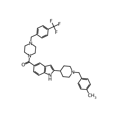 Cc1ccc(CN2CCC(c3cc4cc(C(=O)N5CCN(Cc6ccc(C(F)(F)F)cc6)CC5)ccc4[nH]3)CC2)cc1